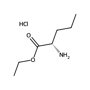 CCC[C@H](N)C(=O)OCC.Cl